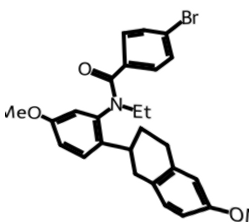 CCN(C(=O)c1ccc(Br)cc1)c1cc(OC)ccc1C1CCc2cc(OC)ccc2C1